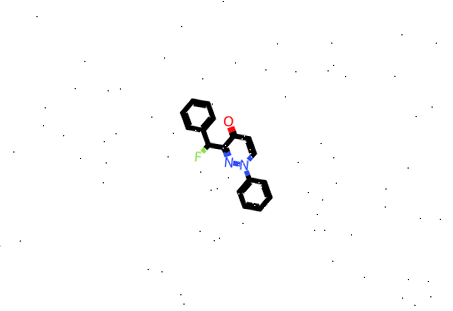 O=c1ccn(-c2ccccc2)nc1C(F)c1c[c]ccc1